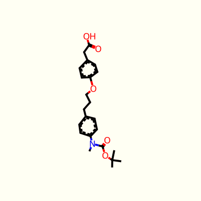 CN(C(=O)OC(C)(C)C)c1ccc(CCCOc2ccc(CC(=O)O)cc2)cc1